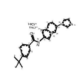 CC(C)(C)c1ccc(C(=O)Nc2cn3cc(-n4ccnc4)ccc3n2)cc1.Cl.Cl